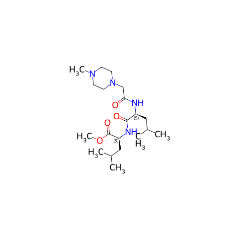 COC(=O)[C@H](CC(C)C)NC(=O)[C@H](CC(C)C)NC(=O)CN1CCN(C)CC1